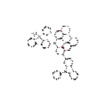 CC1(c2ccccc2)c2ccccc2-c2ccc(N(c3ccc(-c4ccc5c6ccccc6n(-c6ccccc6)c5c4)cc3)c3ccccc3-c3cccc4cccc(C5CCCCC5)c34)cc21